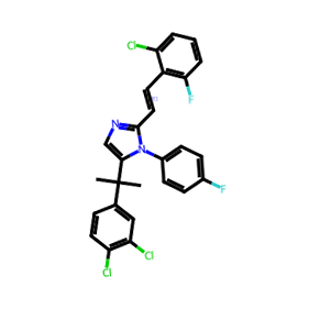 CC(C)(c1ccc(Cl)c(Cl)c1)c1cnc(/C=C/c2c(F)cccc2Cl)n1-c1ccc(F)cc1